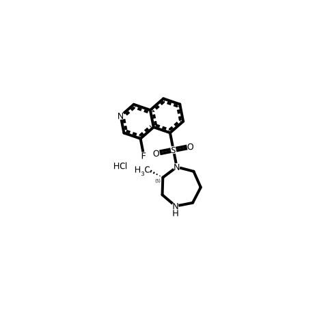 C[C@H]1CNCCCN1S(=O)(=O)c1cccc2cncc(F)c12.Cl